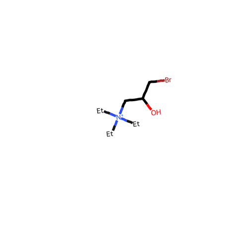 CC[N+](CC)(CC)CC(O)CBr